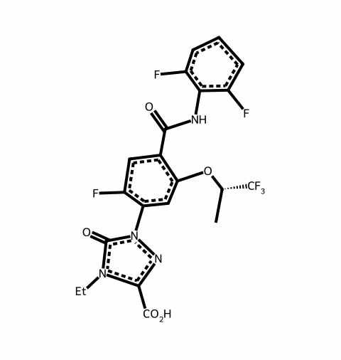 CCn1c(C(=O)O)nn(-c2cc(O[C@@H](C)C(F)(F)F)c(C(=O)Nc3c(F)cccc3F)cc2F)c1=O